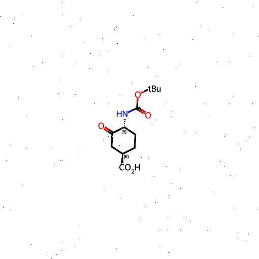 CC(C)(C)OC(=O)N[C@@H]1CC[C@@H](C(=O)O)CC1=O